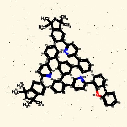 CC1(C)CC(C)(C)c2cc(-c3ccc(-c4ccccc4-c4cc(-c5ccccc5-c5ccc(-c6ccc7c(c6)C(C)(C)CC7(C)C)nc5)cc(-c5ccccc5-c5ccc(-c6cccc7c6oc6ccccc67)nc5)c4)cn3)ccc21